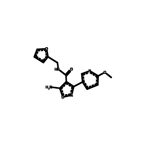 COc1ccc(-c2noc(N)c2C(=O)NCc2ccco2)cn1